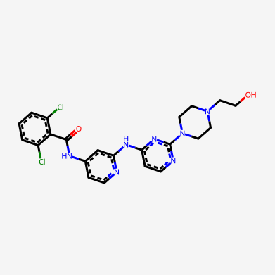 O=C(Nc1ccnc(Nc2ccnc(N3CCN(CCO)CC3)n2)c1)c1c(Cl)cccc1Cl